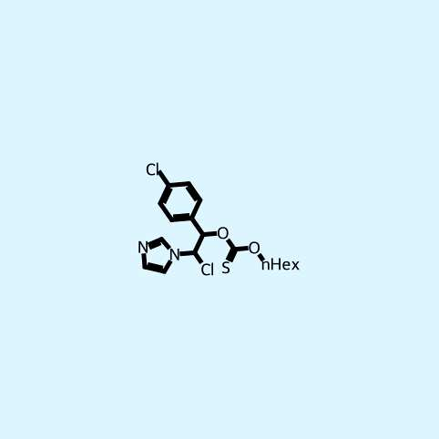 CCCCCCOC(=S)OC(c1ccc(Cl)cc1)C(Cl)n1ccnc1